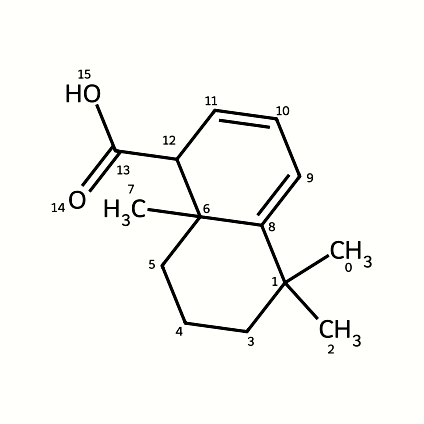 CC1(C)CCCC2(C)C1=CC=CC2C(=O)O